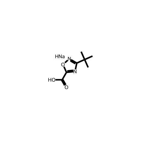 CC(C)(C)c1noc(C(=O)O)n1.[NaH]